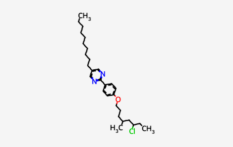 CCCCCCCCCCc1cnc(-c2ccc(OCCCC(C)CC(Cl)CC)cc2)nc1